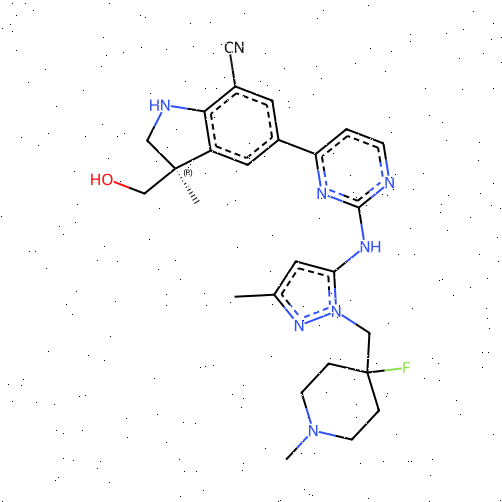 Cc1cc(Nc2nccc(-c3cc(C#N)c4c(c3)[C@@](C)(CO)CN4)n2)n(CC2(F)CCN(C)CC2)n1